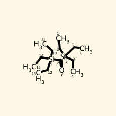 CC[Si](CC)(CC)C(=O)[Si](CC)(CC)CC